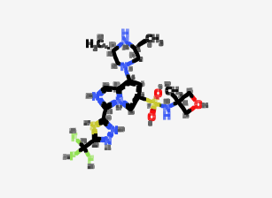 C[C@H]1CN(c2cc(S(=O)(=O)NC3(C)COC3)cn3c(-c4nnc(C(F)(F)F)s4)ncc23)C[C@H](C)N1